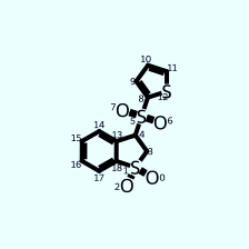 O=S1(=O)CC(S(=O)(=O)c2cccs2)c2ccccc21